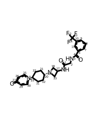 O=C(CNC(=O)c1cccc(C(F)(F)F)c1)NC1CN([C@H]2CC[C@@H](n3ccc(=O)cc3)CC2)C1